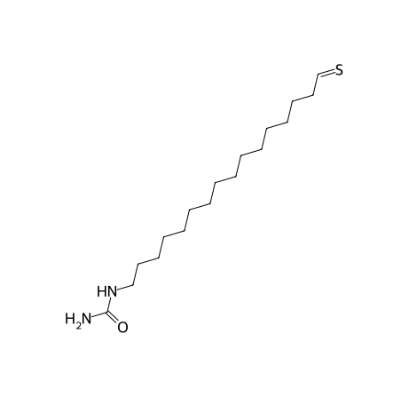 NC(=O)NCCCCCCCCCCCCCCCC=S